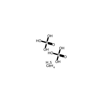 O=P(O)(O)O.O=P(O)(O)O.S.[GeH4]